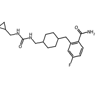 NC(=O)c1ccc(F)cc1CC1CCC(CNC(=O)NCC2CC2)CC1